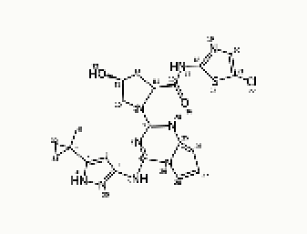 CC1(c2cc(Nc3nc(N4C[C@@H](O)C[C@H]4C(=O)Nc4ncc(Cl)s4)nc4cccn34)n[nH]2)CC1